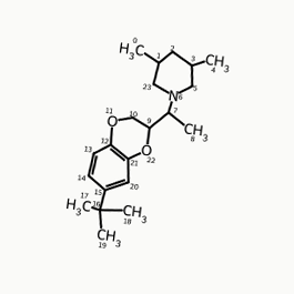 CC1CC(C)CN(C(C)C2COc3ccc(C(C)(C)C)cc3O2)C1